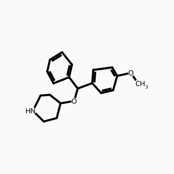 COc1ccc(C(OC2CCNCC2)c2ccccc2)cc1